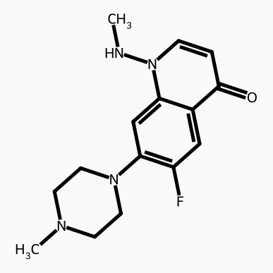 CNn1ccc(=O)c2cc(F)c(N3CCN(C)CC3)cc21